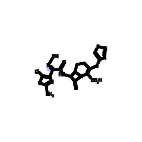 Nc1nc(/C(=N/O)C(=O)NC2C(=O)N3C(C(=O)O)=C(Sc4csnn4)CCC23)c(Cl)s1